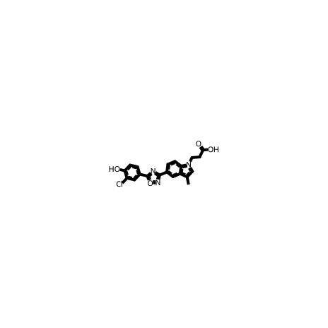 Cc1cn(CCC(=O)O)c2ccc(-c3noc(-c4ccc(O)c(Cl)c4)n3)cc12